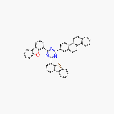 c1ccc2c(c1)ccc1c3ccc(-c4nc(-c5cccc6c5oc5ccccc56)nc(-c5cccc6c5sc5ccccc56)n4)cc3ccc21